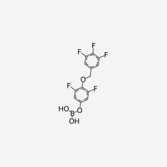 OB(O)Oc1cc(F)c(OCc2cc(F)c(F)c(F)c2)c(F)c1